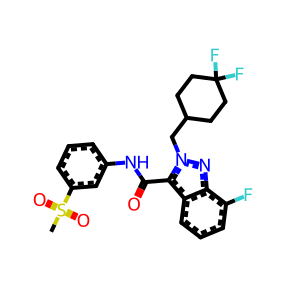 CS(=O)(=O)c1cccc(NC(=O)c2c3cccc(F)c3nn2CC2CCC(F)(F)CC2)c1